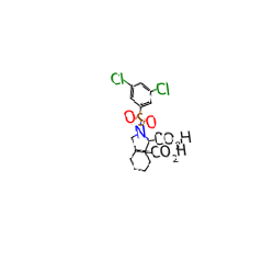 O=C(O)C1N(S(=O)(=O)c2cc(Cl)cc(Cl)c2)CC2CCCCC21C(=O)O